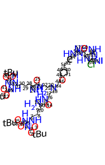 CC(C)(C)OC(=O)/N=C(\NCCCC[C@@H](N)C(=O)NCCCN(CCCNC(=O)[C@H](N)CCCCN/C(=N\C(=O)OC(C)(C)C)NC(=O)OC(C)(C)C)CCOc1ccc(CCCCNC(=N)NC(=O)c2nc(Cl)c(N)nc2N)cc1)NC(=O)OC(C)(C)C